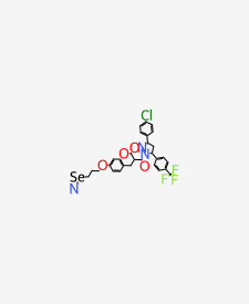 N#C[Se]CCCOc1ccc2c(c1)OC(=O)C(C(=O)N1N=C(c3ccc(Cl)cc3)CC1c1ccc(C(F)(F)F)cc1)C2